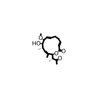 CO[C@H]1/C=C/CC/C=C/C(=O)O[C@@H]([C@@H](C)C(C)=O)/C(C)=C\[C@H](C)[C@H]1O